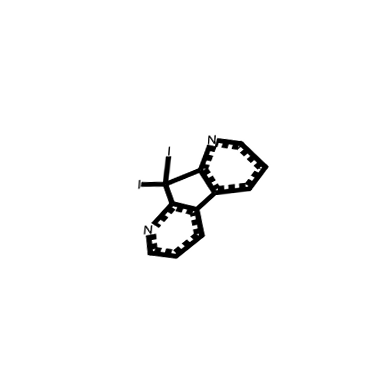 IC1(I)c2ncccc2-c2cccnc21